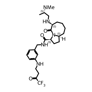 CN[C@@H](C)CN[C@H]1CCCC[C@H]2CC[C@@H](C(=O)NCc3cccc(NCCC(=O)C(F)(F)F)c3)N2C1=O